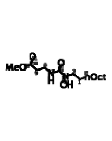 CCCCCCCCCCN(O)C(=O)NCCC(=O)OC